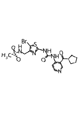 CS(=O)(=O)NCc1nc(NC(=O)Nc2ccncc2C(=O)C2CCCC2)sc1Br